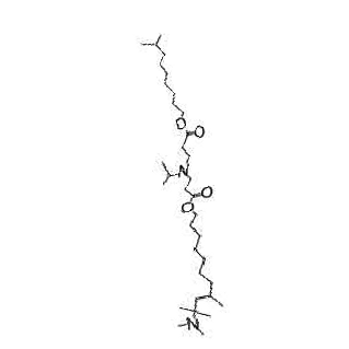 CC(C)CCCCCCCOC(=O)CCN(CCC(=O)OCCCCCCCC(C)CC(C)(C)N(C)C)C(C)C